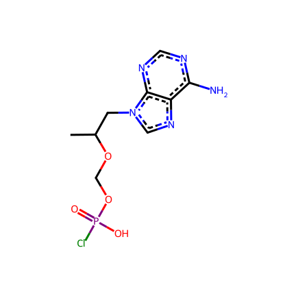 CC(Cn1cnc2c(N)ncnc21)OCOP(=O)(O)Cl